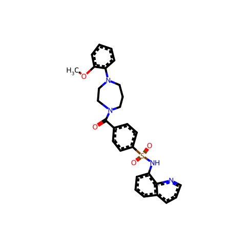 COc1ccccc1N1CCCN(C(=O)c2ccc(S(=O)(=O)Nc3cccc4cccnc34)cc2)CC1